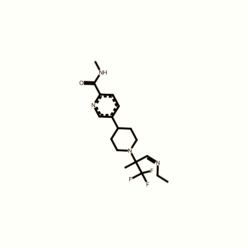 CC/N=C\C(C)(N1CCC(c2ccc(C(=O)NC)nc2)CC1)C(F)(F)F